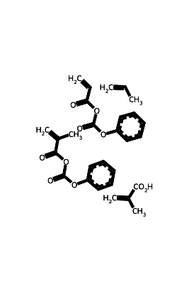 C=C(C)C(=O)O.C=C(C)C(=O)OC(=O)Oc1ccccc1.C=CC.C=CC(=O)OC(=O)Oc1ccccc1